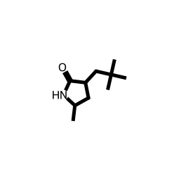 CC1CC(CC(C)(C)C)C(=O)N1